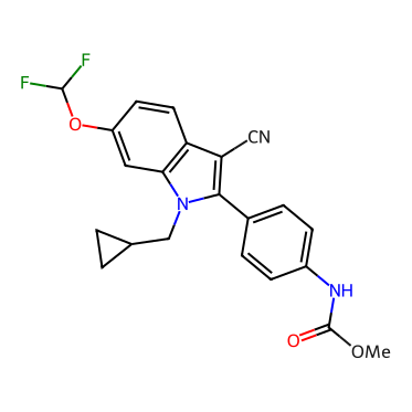 COC(=O)Nc1ccc(-c2c(C#N)c3ccc(OC(F)F)cc3n2CC2CC2)cc1